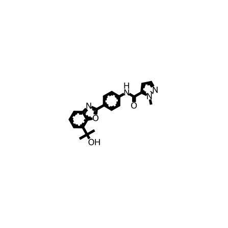 Cn1nccc1C(=O)Nc1ccc(-c2nc3cccc(C(C)(C)O)c3o2)cc1